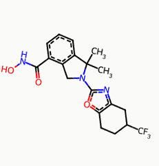 CC1(C)c2cccc(C(=O)NO)c2CN1c1nc2c(o1)CCC(C(F)(F)F)C2